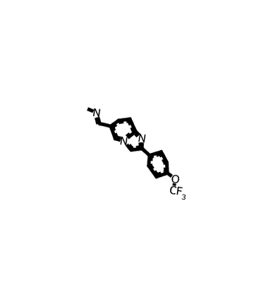 C/N=C/c1ccc2nc(-c3ccc(OC(F)(F)F)cc3)cn2c1